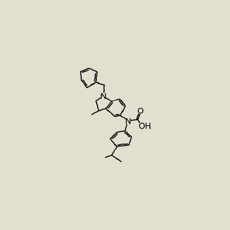 CC(C)c1ccc(N(C(=O)O)c2ccc3c(c2)C(C)CN3Cc2ccccc2)cc1